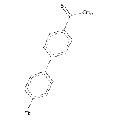 CCc1ccc(-c2ccc(C(C)=S)cc2)cc1